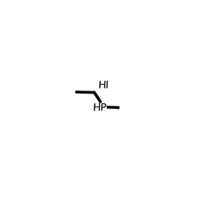 CCPC.I